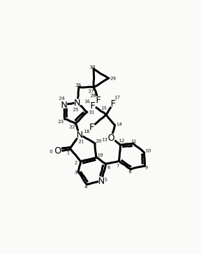 O=C1c2ccnc(-c3ccccc3OCC(F)(F)F)c2CN1c1cnn(CC2(F)CC2)c1